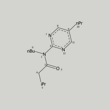 CCCCN(C(=O)CC(C)C)c1ncc(CCC)cn1